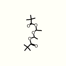 CC(OC(=O)C(C)(C)C)OC(C)OC(=O)C(C)(C)C